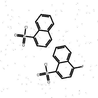 O=S(=O)(Cl)c1ccc(F)c2ccccc12.O=S(=O)(Cl)c1cccc2ccccc12